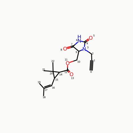 C#CCN1C(=O)NC(=O)C1COC(=O)C1C(C=C(C)C)C1(C)C